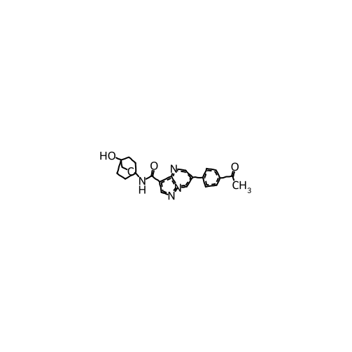 CC(=O)c1ccc(-c2cnc3c(C(=O)NC45CCC(O)(CC4)CC5)cnn3c2)cc1